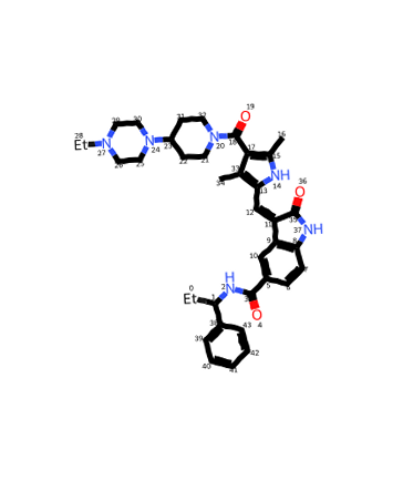 CCC(NC(=O)c1ccc2c(c1)C(=Cc1[nH]c(C)c(C(=O)N3CCC(N4CCN(CC)CC4)CC3)c1C)C(=O)N2)c1ccccc1